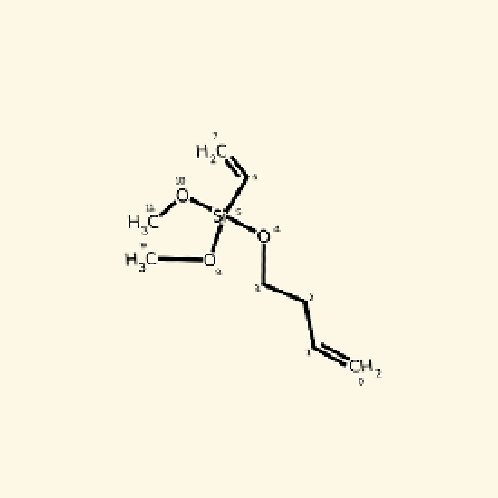 C=CCCO[Si](C=C)(OC)OC